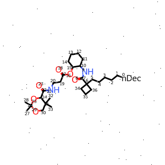 CCCCCCCCCCCCCCCC1(C(=O)NC2CCCCC2OC(=O)CCNC(=O)C2OC(C)(C)OCC2(C)C)CCC1